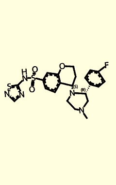 CN1CCN([C@H]2CCOc3cc(S(=O)(=O)Nc4ncns4)ccc32)[C@H](c2ccc(F)cc2)C1